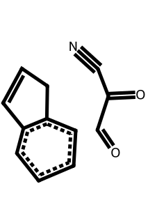 C1=Cc2ccccc2C1.N#CC(=O)C=O